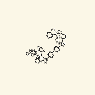 CCN(CC)C(C(=O)N1CCCC1c1ncc(-c2ccc(-c3ccc(-c4cnc([C@@H]5CCCN5C(=O)[C@H](Cc5cscn5)OC(N)=O)[nH]4)cc3)cc2)[nH]1)c1ccccc1